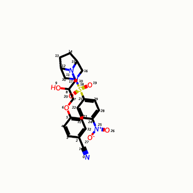 N#Cc1ccc(OCC(O)CN2C3CCC2CN(S(=O)(=O)c2ccc([N+](=O)[O-])cc2)C3)cc1